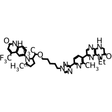 CCN1C(=O)CNc2ncc(-c3ccc(-c4ncn(CCCCCOC(C5CC[C@H](C)N5c5ccc6[nH]c(=O)cc(C(F)(F)F)c6c5)C(F)(F)F)n4)nc3C)nc21